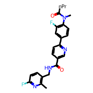 CCCC(=O)N(C)c1ccc(-c2ccc(C(=O)NCc3ccc(F)nc3C)cn2)cc1F